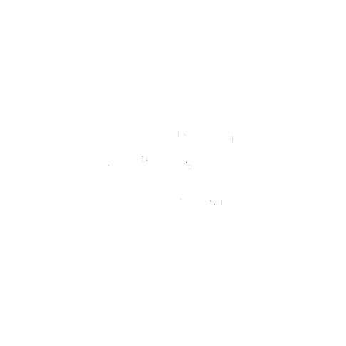 CC1=C(C)N(CCN2CCOCC2)C(C(N)=O)S1.Cl